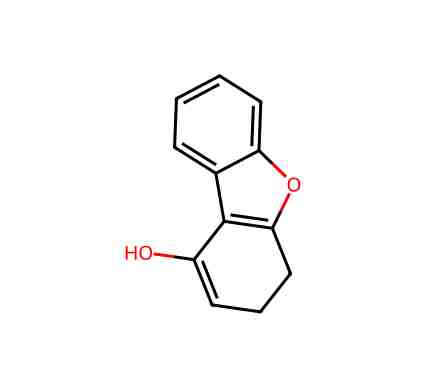 OC1=CCCc2oc3ccccc3c21